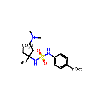 CCCCCCCCc1ccc(NS(=O)(=O)NC(CCC)(CCN(C)C)CC(=O)O)cc1